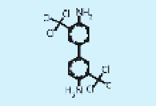 Nc1ccc(-c2ccc(N)c(C(Cl)(Cl)Cl)c2)cc1C(Cl)(Cl)Cl